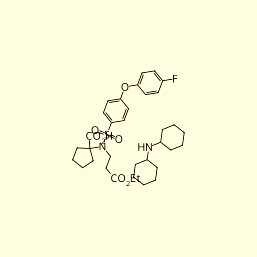 C1CCC(NC2CCCCC2)CC1.CCOC(=O)CCN(C1(C(=O)O)CCCC1)S(=O)(=O)c1ccc(Oc2ccc(F)cc2)cc1